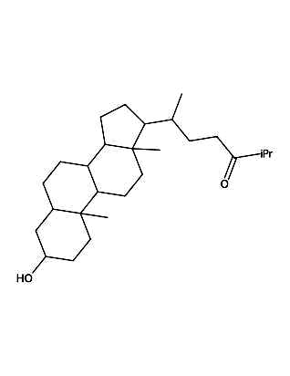 CC(C)C(=O)CCC(C)C1CCC2C3CCC4CC(O)CCC4(C)C3CCC12C